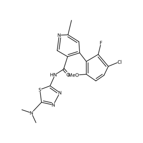 COc1ccc(Cl)c(F)c1-c1cc(C)ncc1C(=O)Nc1nnc(N(C)C)s1